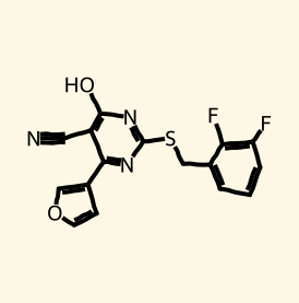 N#Cc1c(O)nc(SCc2cccc(F)c2F)nc1-c1ccoc1